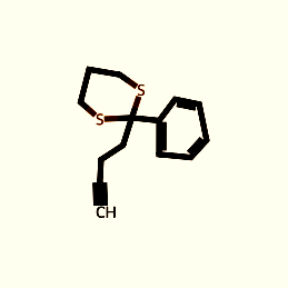 C#CCCC1(c2ccccc2)SCCCS1